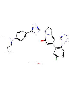 COCCN(C(=O)O)c1ccc(-c2nnc([C@@H]3CCc4cc(-c5cc(Cl)ccc5-n5cnnn5)cc(=O)n43)[nH]2)cc1.O=CO